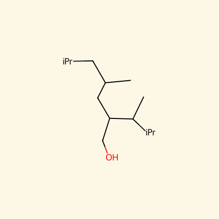 CC(C)CC(C)CC(CO)C(C)C(C)C